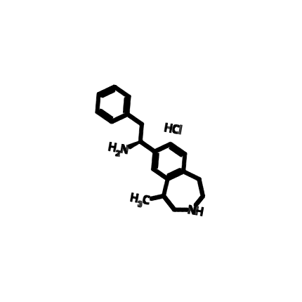 CC1CNCCc2ccc([C@@H](N)Cc3ccccc3)cc21.Cl